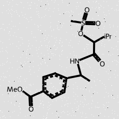 COC(=O)c1ccc(C(C)NC(=O)C(OS(C)(=O)=O)C(C)C)cc1